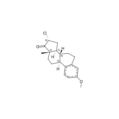 COc1ccc2c(c1)CC[C@@H]1[C@@H]2CC[C@]2(C)C(=O)[C@H](Cl)C[C@@H]12